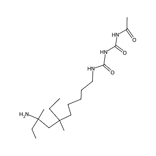 CCC(C)(N)CC(C)(CC)CCCCCNC(=O)NC(=O)NC(C)=O